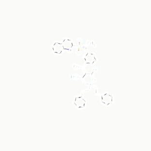 CCC(C1=C(O)CC(CCc2ccccc2)(CCc2ccccc2)OC1=O)c1cccc(N(C)S(=O)(=O)c2ccc3ccccc3n2)c1